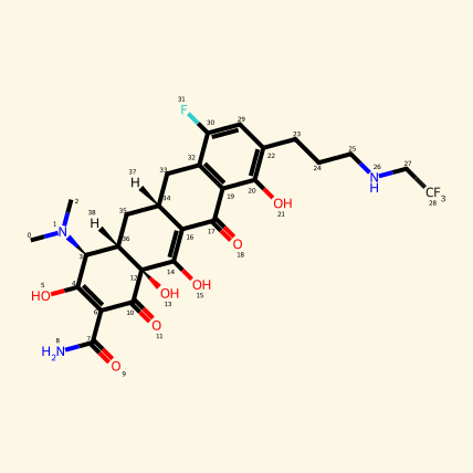 CN(C)[C@@H]1C(O)=C(C(N)=O)C(=O)[C@@]2(O)C(O)=C3C(=O)c4c(O)c(CCCNCC(F)(F)F)cc(F)c4C[C@H]3C[C@@H]12